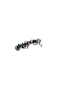 CCCN(C)CCOCCOCCOCCN/C=C(/CN1CCS(=O)(=O)CC1)N=N